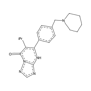 CC(C)c1c(-c2ccc(CN3CCCCC3)cc2)[nH]c2ncnn2c1=O